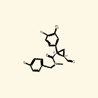 CN(Cc1ccc(F)cc1)C(=O)[C@@]1(c2ccc(Cl)c(Cl)c2)C[C@H]1C=O